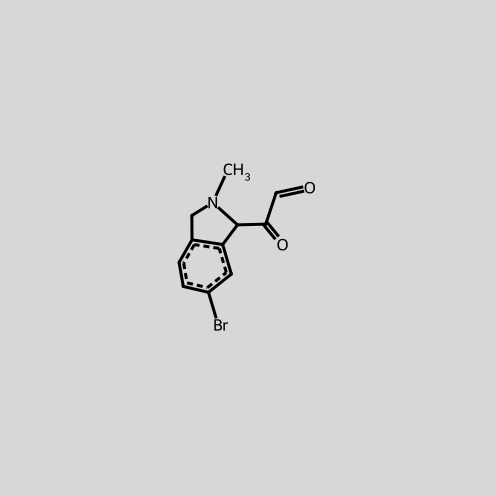 CN1Cc2ccc(Br)cc2C1C(=O)C=O